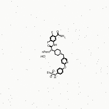 CCCCCN(C(=O)Nc1cc(C(N)=O)c(F)cc1F)C1CCN(Cc2ccc(Oc3ccc(NS(=O)(=O)CC)cc3)nc2)CC1.Cl